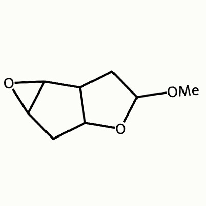 COC1CC2C(CC3OC32)O1